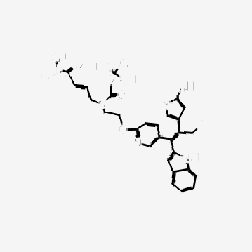 CC/C(=C(/c1ccc(OCCN(C/C=C/C(=O)N(C)C)C(=O)OC(C)(C)C)nc1)c1cc2ccccc2[nH]1)c1csc(C)c1